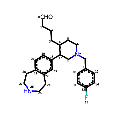 O=CCCCC1CCN(Cc2ccc(F)cc2)CC1c1ccc2c(c1)CCNCC2